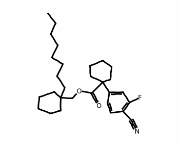 CCCCCCCCC1(COC(=O)C2(c3ccc(C#N)c(F)c3)CCCCC2)CCCCC1